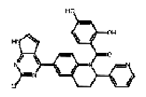 O=C(c1ccc(O)cc1O)N1c2ccc(-c3nc(Cl)nc4[nH]ccc34)cc2CCC1c1cccnc1